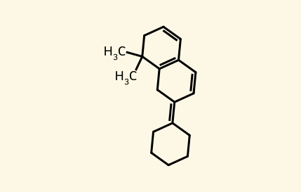 CC1(C)CC=CC2=C1CC(=C1CCCCC1)C=C2